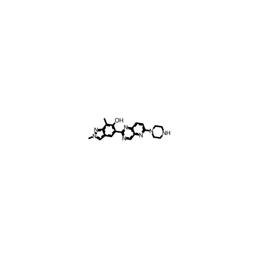 Cc1c(O)c(-c2ncc3nc(N4CCNCC4)ccc3n2)cc2cn(C)nc12